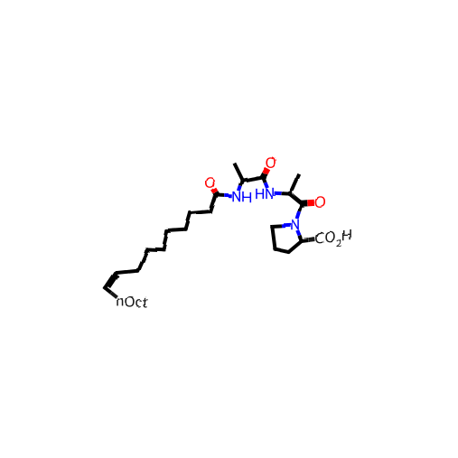 CCCCCCCC/C=C\CCCCCCCC(=O)NC(C)C(=O)NC(C)C(=O)N1CCCC1C(=O)O